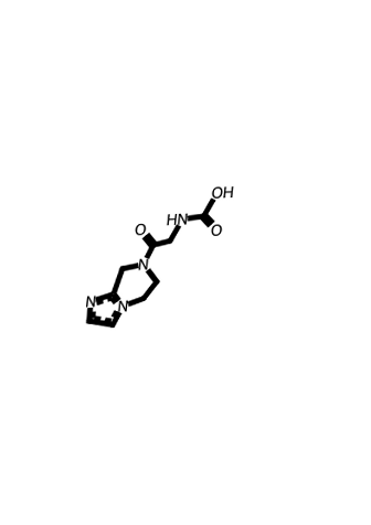 O=C(O)NCC(=O)N1CCn2ccnc2C1